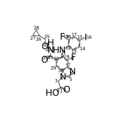 O=C(O)Cn1cnc2c(F)c(Nc3ccc(I)cc3F)c(C(=O)NOCC3CC3)cc21